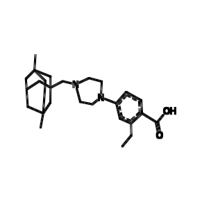 CCc1cc(N2CCN(CC34CC5CC(C)(CC(C)(C5)C3)C4)CC2)ccc1C(=O)O